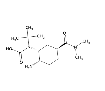 CN(C)C(=O)[C@H]1CC[C@H](N)[C@H](N(C(=O)O)C(C)(C)C)C1